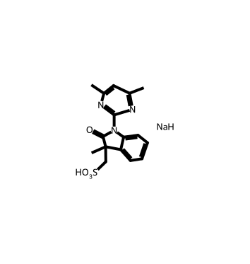 Cc1cc(C)nc(N2C(=O)C(C)(CS(=O)(=O)O)c3ccccc32)n1.[NaH]